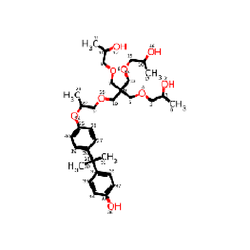 CC(O)COCC(COCC(C)O)(COCC(C)O)COCC(C)Oc1ccc(C(C)(C)c2ccc(O)cc2)cc1